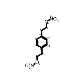 O=[N+]([O-])OCCc1ccc(CCO[N+](=O)[O-])cc1